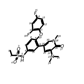 CCS(=O)(=O)Nc1ccc(Oc2ccc(F)cc2F)c(-c2cc(N(C)C)c(=O)n(C)c2)c1